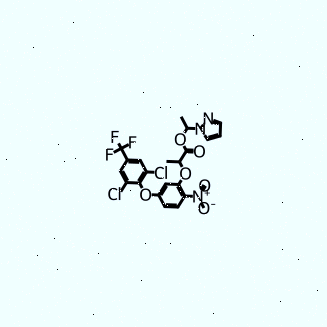 CC(Oc1cc(Oc2c(Cl)cc(C(F)(F)F)cc2Cl)ccc1[N+](=O)[O-])C(=O)OC(C)n1cccn1